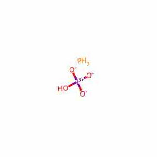 P.[O-][I+3]([O-])([O-])O